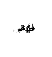 CCO/N=C/c1c(COc2cc(C)cc(CC(=O)OC)c2)noc1-c1ccc(C(F)(F)F)cc1